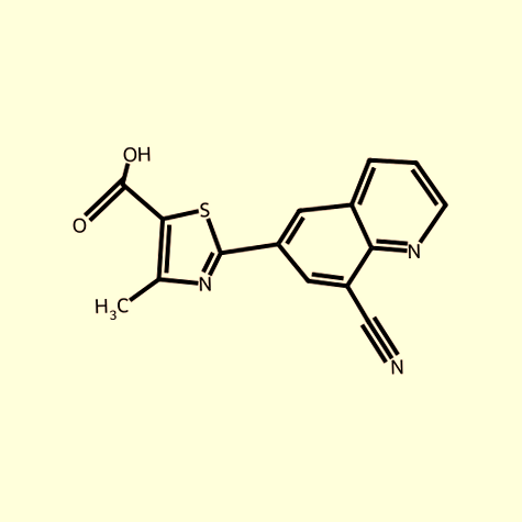 Cc1nc(-c2cc(C#N)c3ncccc3c2)sc1C(=O)O